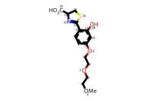 COCCOCCOc1ccc(C2=NC(C(=O)O)CS2)c(O)c1